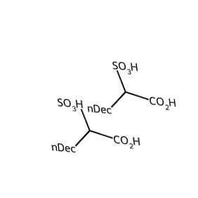 CCCCCCCCCCC(C(=O)O)S(=O)(=O)O.CCCCCCCCCCC(C(=O)O)S(=O)(=O)O